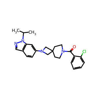 CC(C)n1ncc2ccc(N3CC4(CCN(C(=O)c5ccccc5Cl)CC4)C3)cc21